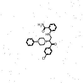 NC(=O)c1ccccc1NCC(C(=O)c1ccc(Cl)cc1)N1CCN(c2ccccc2)CC1